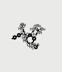 Cc1ccc(-c2ccc(C(=O)N[C@@H](CCCNC(=O)OC(C)(C)C)C(=O)N(C)[C@@H]3C(=O)N[C@@H](C)C(=O)N[C@H](C(=O)ON4C(=O)CCC4=O)Cc4ccc(OCCNC(=O)OC(C)(C)C)c(c4)-c4cc3ccc4OCCNC(=O)OC(C)(C)C)cc2)cc1